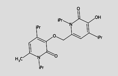 Cc1cc(C(C)C)c(OCc2cc(C(C)C)c(O)c(=O)n2C(C)C)c(=O)n1C(C)C